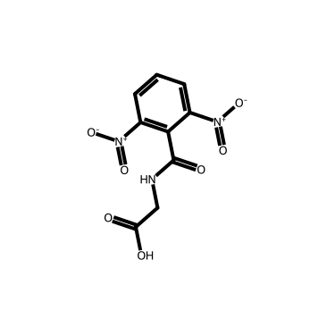 O=C(O)CNC(=O)c1c([N+](=O)[O-])cccc1[N+](=O)[O-]